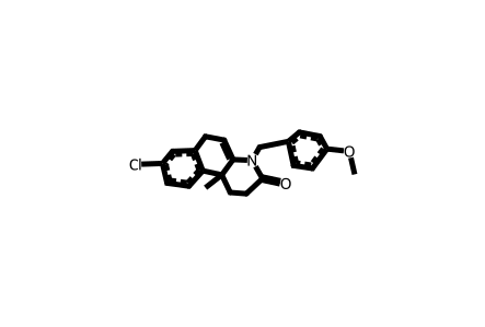 COc1ccc(CN2C(=O)CCC3(C)C2=CCc2cc(Cl)ccc23)cc1